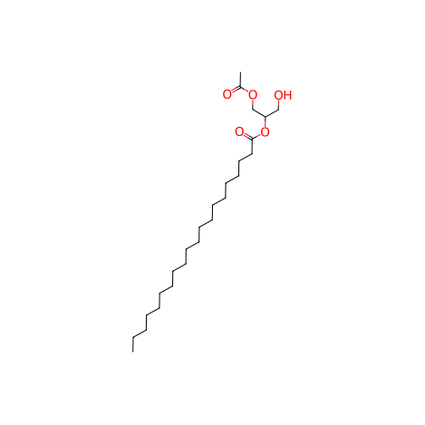 CCCCCCCCCCCCCCCCCCCC(=O)OC(CO)COC(C)=O